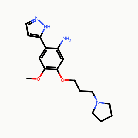 COc1cc(-c2ccn[nH]2)c(N)cc1OCCCN1CCCC1